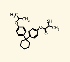 CC(C)Oc1ccc(C2(c3ccc(OC(=O)C(C)S)cc3)CCCCC2)cc1